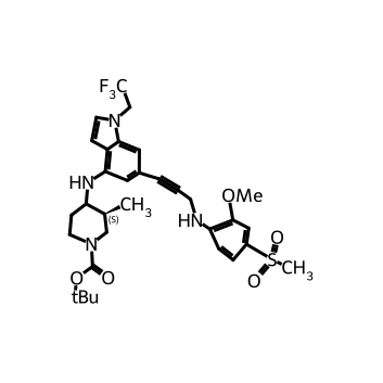 COc1cc(S(C)(=O)=O)ccc1NCC#Cc1cc(NC2CCN(C(=O)OC(C)(C)C)C[C@@H]2C)c2ccn(CC(F)(F)F)c2c1